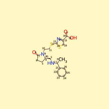 CC(NC[C@H]1CCC(=O)N1CCSc1nc(C(=O)O)cs1)c1ccccc1